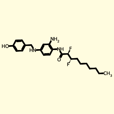 CCCCCCC[C@H](F)[C@H](F)C(=O)Nc1ccc(NCc2ccc(O)cc2)cc1N